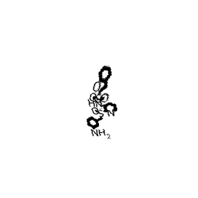 Nc1cccc(C[S+]([O-])c2ncccc2NS(=O)(=O)c2cc3ccccc3o2)c1